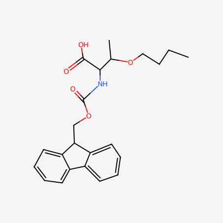 CCCCOC(C)C(NC(=O)OCC1c2ccccc2-c2ccccc21)C(=O)O